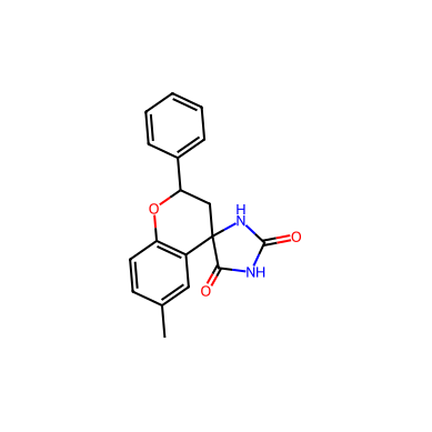 Cc1ccc2c(c1)C1(CC(c3ccccc3)O2)NC(=O)NC1=O